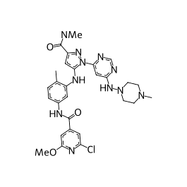 CNC(=O)c1cc(Nc2cc(NC(=O)c3cc(Cl)nc(OC)c3)ccc2C)n(-c2cc(NN3CCN(C)CC3)ncn2)n1